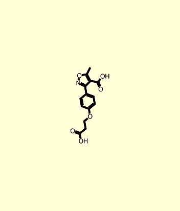 Cc1onc(-c2ccc(OCCC(=O)O)cc2)c1C(=O)O